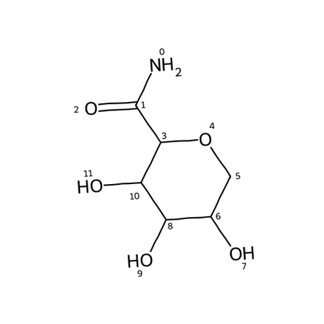 NC(=O)C1OCC(O)C(O)C1O